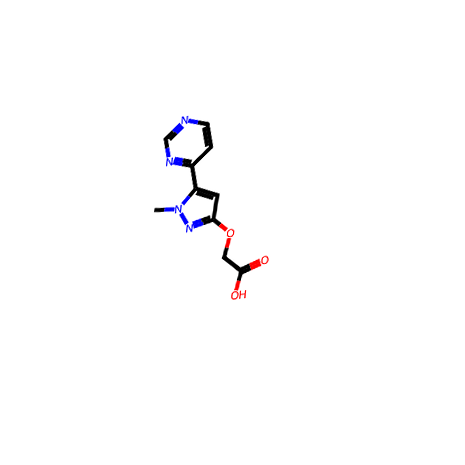 Cn1nc(OCC(=O)O)cc1-c1ccncn1